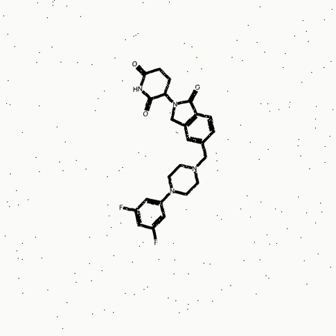 O=C1CCC(N2Cc3cc(CN4CCN(c5cc(F)cc(F)c5)CC4)ccc3C2=O)C(=O)N1